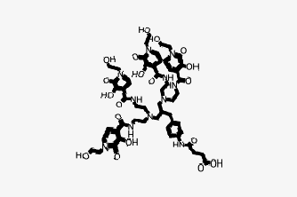 O=C(O)CCC(=O)Nc1ccc(CC(CN(CCNC(=O)c2ccn(CCO)c(=O)c2O)CCNC(=O)c2ccn(CCO)c(=O)c2O)CN(CCNC(=O)c2ccn(CCO)c(=O)c2O)CCNC(=O)c2ccn(CCO)c(=O)c2O)cc1